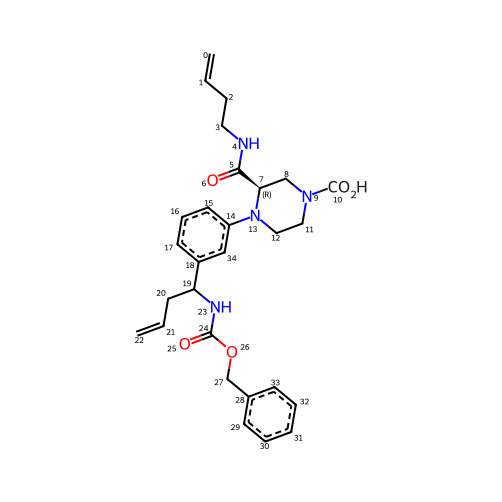 C=CCCNC(=O)[C@H]1CN(C(=O)O)CCN1c1cccc(C(CC=C)NC(=O)OCc2ccccc2)c1